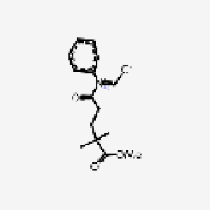 [CH2-]/C=[N+](/C(=O)CCC(C)(C)C(=O)OC)c1ccccc1